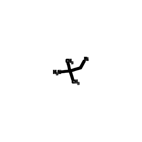 CCCC(C)(C)[SiH3]